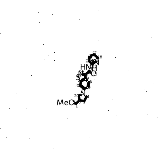 COCC1CCN(c2ccc3c(C(=O)N[C@@H]4CC5CCN4CC5)nsc3c2)C1